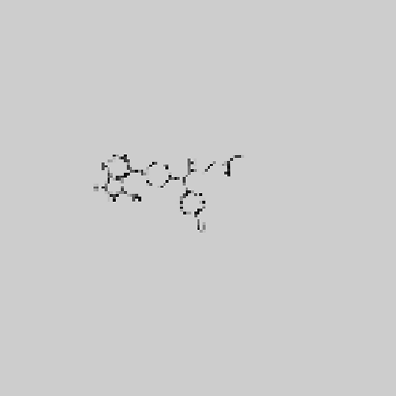 CCNCCNC(c1ccc(Cl)cc1)C1CCN(c2ncnc3[nH]nc(Br)c23)CC1